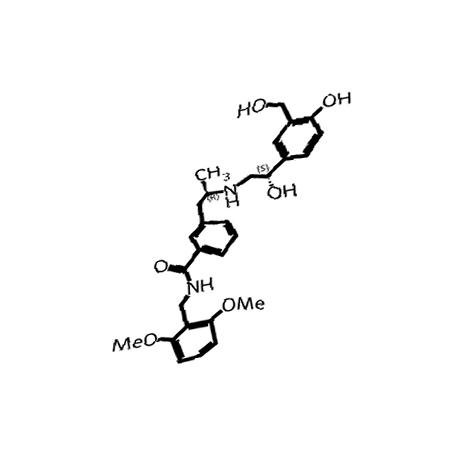 COc1cccc(OC)c1CNC(=O)c1cccc(C[C@@H](C)NC[C@@H](O)c2ccc(O)c(CO)c2)c1